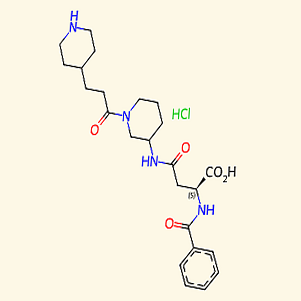 Cl.O=C(C[C@H](NC(=O)c1ccccc1)C(=O)O)NC1CCCN(C(=O)CCC2CCNCC2)C1